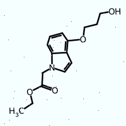 CCOC(=O)Cn1ccc2c(OCCCO)cccc21